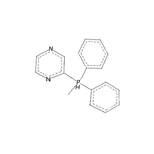 C[PH](c1ccccc1)(c1ccccc1)c1cnccn1